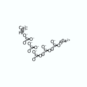 F.O=[Si]([O-])[O-].O=[Si]([O-])[O-].O=[Si]([O-])[O-].O=[Si]([O-])[O-].O=[Si]([O-])[O-].[Al+3].[Al+3].[Ca+2].[Ca+2]